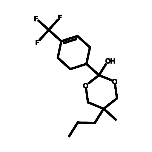 CCCC1(C)COC(O)(C2CC=C(C(F)(F)F)CC2)OC1